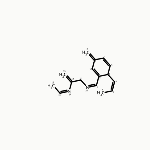 C=C1C=CC(/C=C\C)C(/C=N\CC(=C)/N=C\C)=C1